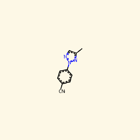 Cc1cnn(-c2ccc(C#N)cc2)n1